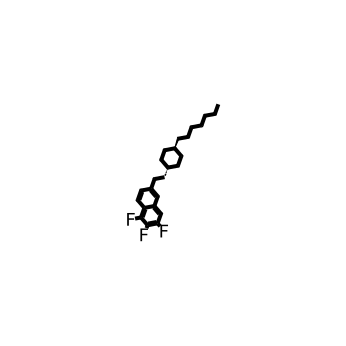 CCCCCCC[C@H]1CC[C@H](CCc2ccc3c(F)c(F)c(F)cc3c2)CC1